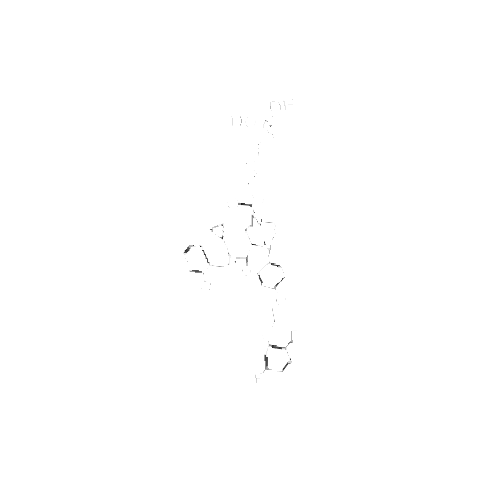 O=C(OCCOCCON(O)O)N1CCN(c2ccc(OCCOc3cc(F)ccc3F)cc2)[C@@H](C(=O)N(Cc2ccccc2Cl)C2CC2)C1